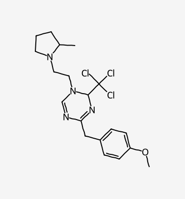 COc1ccc(CC2=NC(C(Cl)(Cl)Cl)N(CCN3CCCC3C)C=N2)cc1